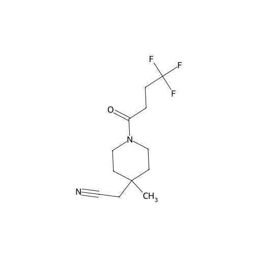 CC1(CC#N)CCN(C(=O)CCC(F)(F)F)CC1